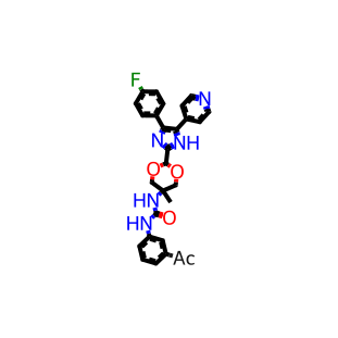 CC(=O)c1cccc(NC(=O)NC2(C)COC(c3nc(-c4ccc(F)cc4)c(-c4ccncc4)[nH]3)OC2)c1